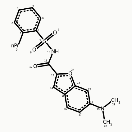 CCCc1ccccc1S(=O)(=O)NC(=O)c1cc2ccc(N(C)C)cc2o1